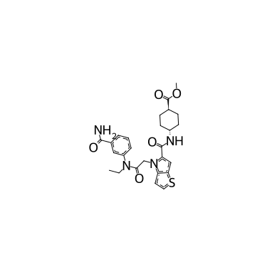 CCN(C(=O)Cn1c(C(=O)N[C@H]2CC[C@H](C(=O)OC)CC2)cc2sccc21)c1cccc(C(N)=O)c1